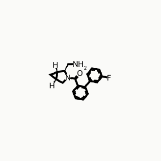 NC[C@@H]1[C@H]2C[C@H]2CN1C(=O)c1ccccc1-c1cccc(F)c1